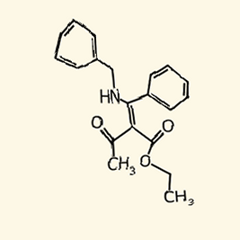 CCOC(=O)/C(C(C)=O)=C(/NCc1ccccc1)c1ccccc1